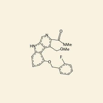 CNC(=O)c1ncc2[nH]c3cccc(OCc4ccccc4F)c3c2c1COC